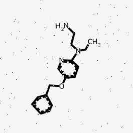 CCN(CCN)c1ccc(OCc2ccccc2)cn1